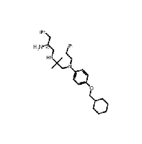 CC(C)CCN(CC(C)(C)NC[C@@H](N)CC(C)C)c1ccc(OCC2CCCCC2)cc1